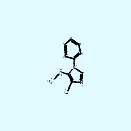 CNc1c(Cl)ncn1-c1ccccc1